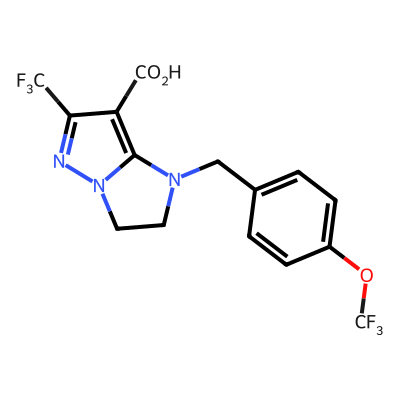 O=C(O)c1c(C(F)(F)F)nn2c1N(Cc1ccc(OC(F)(F)F)cc1)CC2